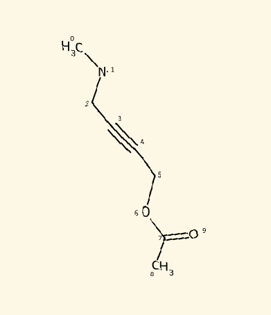 C[N]CC#CCOC(C)=O